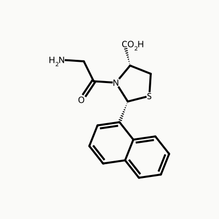 NCC(=O)N1[C@@H](c2cccc3ccccc23)SC[C@H]1C(=O)O